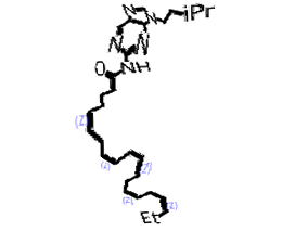 [CH2]C([CH2])CCn1cnc2cnc(NC(=O)CCC/C=C\C/C=C\C/C=C\C/C=C\C/C=C\CC)nc21